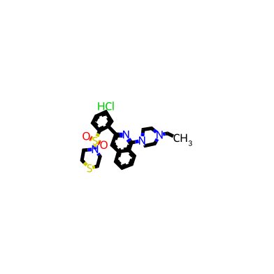 CCN1CCN(c2nc(-c3ccccc3S(=O)(=O)N3CCSCC3)cc3ccccc23)CC1.Cl